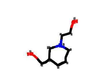 OCCN1CCCC(CO)C1